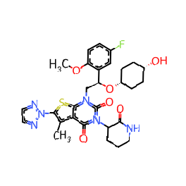 COc1ccc(F)cc1[C@H](Cn1c(=O)n(C2CCCNC2=O)c(=O)c2c(C)c(-n3nccn3)sc21)O[C@H]1CC[C@@H](O)CC1